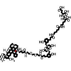 CC[N+]1=c2cc3c(cc2C(C)=CC1(C)C)=C(c1ccccc1C(=O)N(C)CCCC(=O)NCCOCCOCCNC(=O)CCc1ccc(O)c(CN(CCN(CC(=O)O)Cc2cc(CCC(=O)NCCCCCC(=O)NCCCCC(NC(=O)NC(CCC(=O)O)C(=O)O)C(=O)O)ccc2O)CC(=O)O)c1)c1cc2c4c(c1C3(C)C)CCCN4CCC2